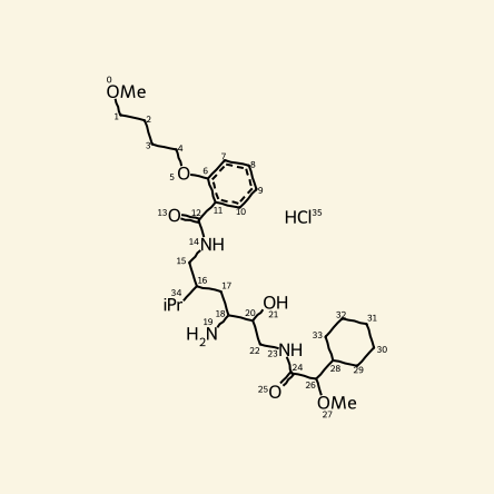 COCCCCOc1ccccc1C(=O)NCC(CC(N)C(O)CNC(=O)C(OC)C1CCCCC1)C(C)C.Cl